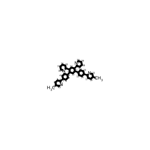 Cc1ccc(-c2ccc(-c3cc(-c4ccc(-c5ccc(C)cn5)cc4)c(-c4ccccn4)cc3-c3ccccn3)cc2)nc1